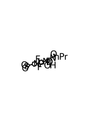 CCCC(=O)NC[C@H]1CN(c2cc(F)c(N3CCC(C4CS(=O)(=O)C4)CC3)c(F)c2)C(=O)O1